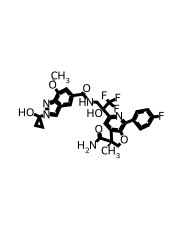 COc1cc(C(=O)NCC(O)(c2cc3c(c(-c4ccc(F)cc4)n2)OC[C@]3(C)C(N)=O)C(F)(F)F)cc2cn(C3(O)CC3)nc12